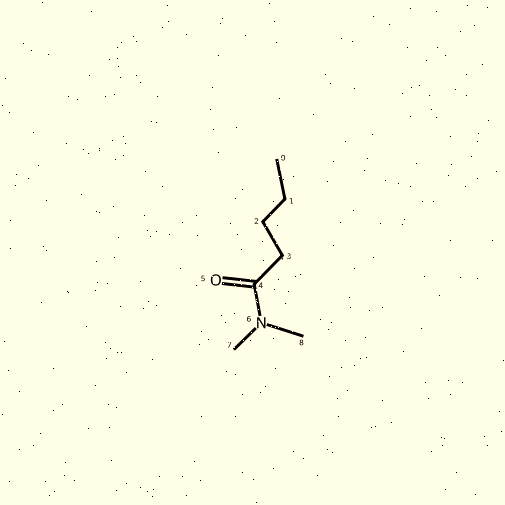 CCC[CH]C(=O)N(C)C